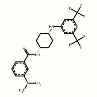 CN(C)c1cccc(C(=O)N[C@H]2CC[C@@H](Nc3cc(C(F)(F)F)nc(C(F)(F)F)c3)CC2)c1